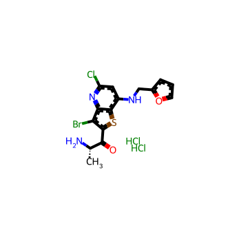 C[C@H](N)C(=O)c1sc2c(NCc3ccco3)cc(Cl)nc2c1Br.Cl.Cl